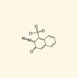 [N-]=[N+]=C1C(=O)C=c2ccccc2=C1S(=O)(=O)Cl